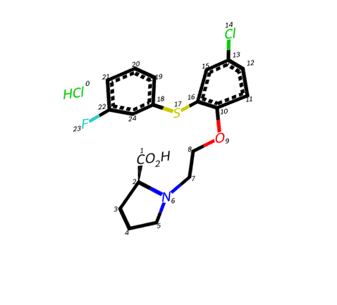 Cl.O=C(O)[C@@H]1CCCN1CCOc1ccc(Cl)cc1Sc1cccc(F)c1